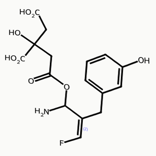 NC(OC(=O)CC(O)(CC(=O)O)C(=O)O)/C(=C\F)Cc1cccc(O)c1